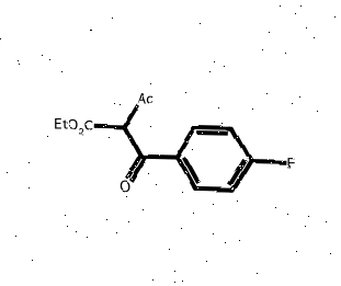 CCOC(=O)C(C(C)=O)C(=O)c1ccc(F)cc1